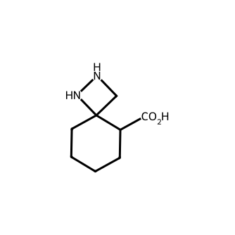 O=C(O)C1CCCCC12CNN2